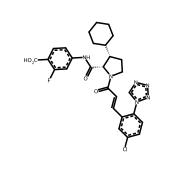 O=C(O)c1ccc(NC(=O)[C@@H]2[C@H](C3CCCCC3)CCN2C(=O)/C=C/c2cc(Cl)ccc2-n2cnnn2)cc1F